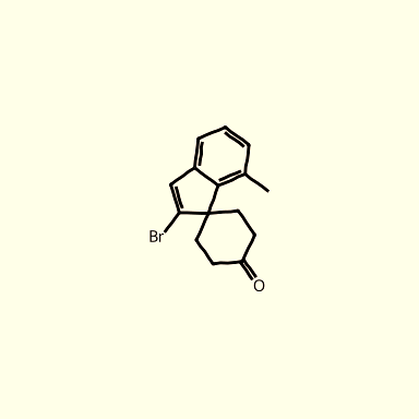 Cc1cccc2c1C1(CCC(=O)CC1)C(Br)=C2